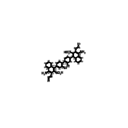 [H]/N=N/c1c(S(=O)(=O)O)c(-c2ccc(-c3ccc(-c4c(S(=O)(=O)O)c(/N=N/[H])c(N)c5ccccc45)cc3CC)c(CC)c2)c2ccccc2c1N